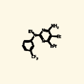 CCCc1nc(N(CC)c2cccc(C(F)(F)F)c2)nc(N)c1CC